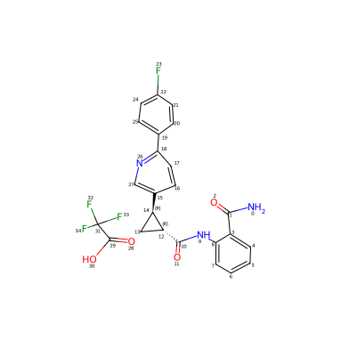 NC(=O)c1ccccc1NC(=O)[C@@H]1C[C@H]1c1ccc(-c2ccc(F)cc2)nc1.O=C(O)C(F)(F)F